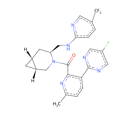 Cc1ccc(-c2ncc(F)cn2)c(C(=O)N2C[C@@H]3C[C@@H]3C[C@H]2CNc2ccc(C(F)(F)F)cn2)n1